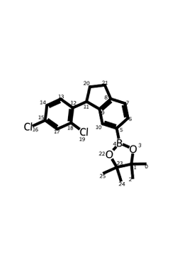 CC1(C)OB(c2ccc3c(c2)C(c2ccc(Cl)cc2Cl)CC3)OC1(C)C